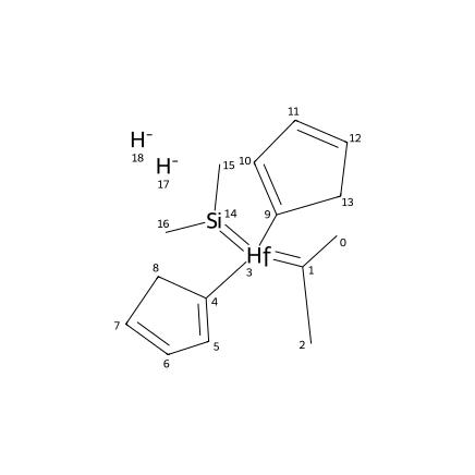 C[C](C)=[Hf]([C]1=CC=CC1)([C]1=CC=CC1)=[Si](C)C.[H-].[H-]